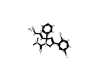 CN(C)C(=O)N1CC(c2cc(F)ccc2F)=CC1(/C=C/CN)c1ccccc1